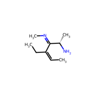 C/C=C(CC)\C(=N/C)[C@H](C)N